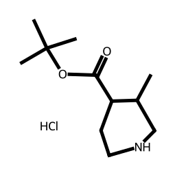 CC1CNCCC1C(=O)OC(C)(C)C.Cl